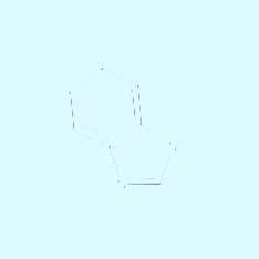 [Cr].c1ccc2[nH]cnc2c1